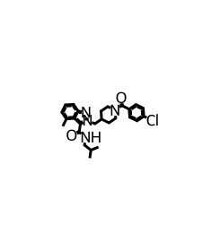 Cc1cccc2nn(CC3CCN(C(=O)c4ccc(Cl)cc4)CC3)c(C(=O)NCC(C)C)c12